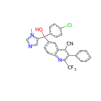 Cn1cncc1C(O)(c1ccc(Cl)cc1)c1ccc2nc(C(F)(F)F)c(-c3ccccc3)c(C#N)c2c1